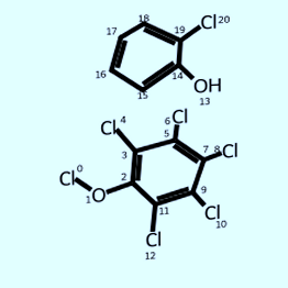 ClOc1c(Cl)c(Cl)c(Cl)c(Cl)c1Cl.Oc1ccccc1Cl